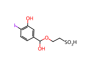 O=S(=O)(O)CCOC(O)c1ccc(I)c(O)c1